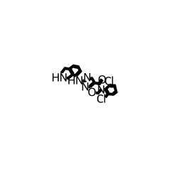 O=C1c2cnc(Nc3cccc4c3CNCC4)nc2OCN1c1c(Cl)cccc1Cl